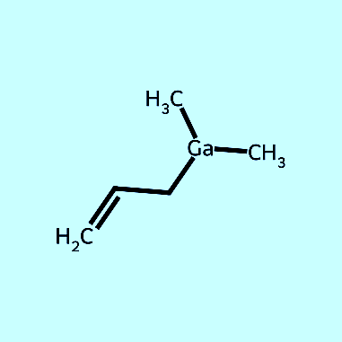 C=C[CH2][Ga]([CH3])[CH3]